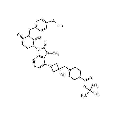 COc1ccc(CN2C(=O)CCC(n3c(=O)n(C)c4c3cccc4[C@H]3C[C@](O)(CN4CCN(C(=O)OC(C)(C)C)CC4)C3)C2=O)cc1